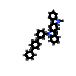 Cn1c2ccccc2c2cc3c(cc21)c1ccccc1n3-c1cccc(-c2ccc(-c3ccccc3)cc2)c1